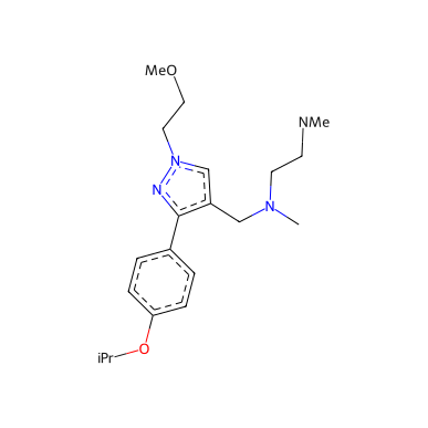 CNCCN(C)Cc1cn(CCOC)nc1-c1ccc(OC(C)C)cc1